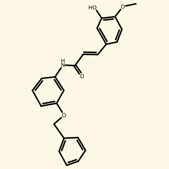 COc1ccc(C=CC(=O)Nc2cccc(OCc3ccccc3)c2)cc1O